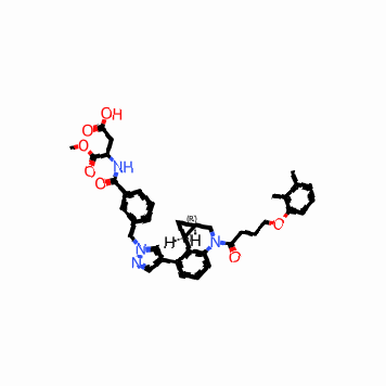 COC(=O)C(CC(=O)O)NC(=O)c1cccc(Cn2cc(-c3cccc4c3[C@H]3C[C@H]3CN4C(=O)CCCOc3cccc(C)c3C)cn2)c1